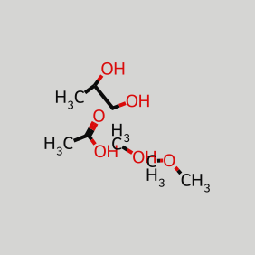 CC(=O)O.CC(O)CO.CO.COC